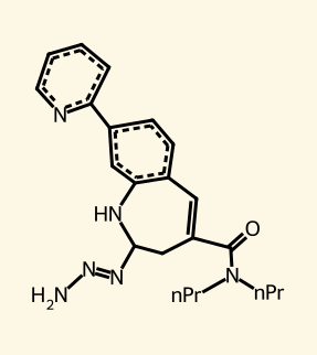 CCCN(CCC)C(=O)C1=Cc2ccc(-c3ccccn3)cc2NC(N=NN)C1